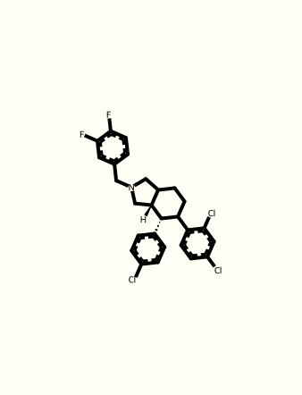 Fc1ccc(CN2CC3CCC(c4ccc(Cl)cc4Cl)[C@H](c4ccc(Cl)cc4)[C@@H]3C2)cc1F